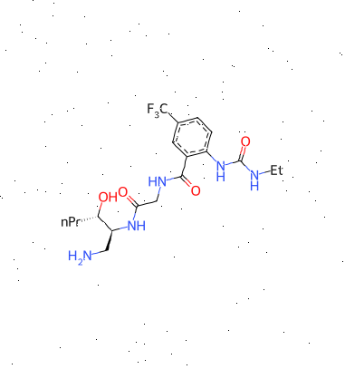 CCC[C@H](O)[C@H](CN)NC(=O)CNC(=O)c1cc(C(F)(F)F)ccc1NC(=O)NCC